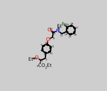 CCOC(=O)[C@H](Cc1ccc(OCC(=O)N(CC)Cc2ccccc2F)cc1)OCC